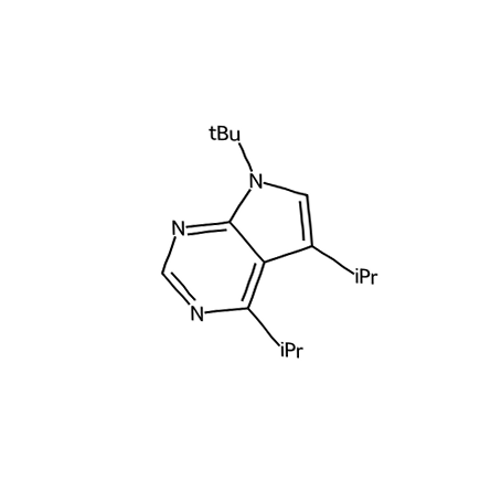 CC(C)c1cn(C(C)(C)C)c2ncnc(C(C)C)c12